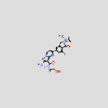 C=C(C)[C@H](N1Cc2cc(-c3ccn4nc(N)c(C(=O)N[C@H](C)CO)c4n3)cc(Cl)c2C1=O)C(F)(F)F